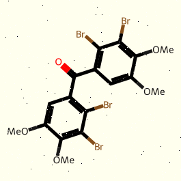 COc1cc(C(=O)c2cc(OC)c(OC)c(Br)c2Br)c(Br)c(Br)c1OC